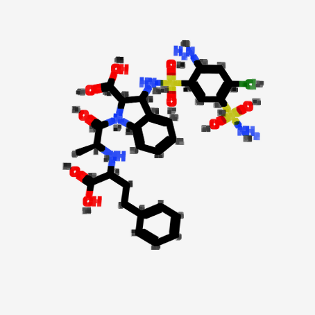 C[C@H](NC(CCc1ccccc1)C(=O)O)C(=O)N1c2ccccc2C(NS(=O)(=O)c2cc(S(N)(=O)=O)c(Cl)cc2N)C1C(=O)O